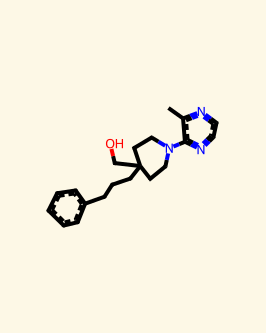 Cc1nccnc1N1CCC(CO)(CCCc2ccccc2)CC1